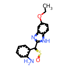 CCOc1ccc2[nH]c(C(=S=O)c3ccccc3N)nc2c1